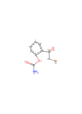 NC(=O)Oc1ccccc1C(=O)CBr